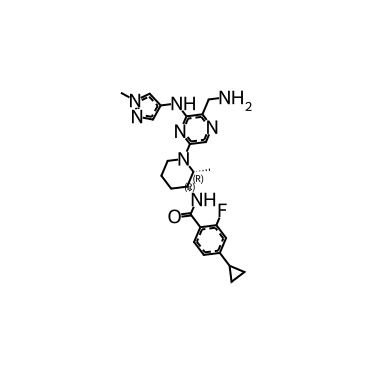 C[C@@H]1[C@H](NC(=O)c2ccc(C3CC3)cc2F)CCCN1c1cnc(CN)c(Nc2cnn(C)c2)n1